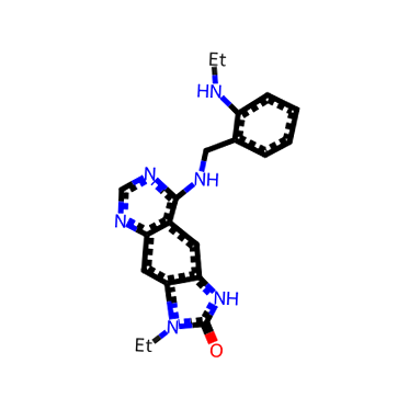 CCNc1ccccc1CNc1ncnc2cc3c(cc12)[nH]c(=O)n3CC